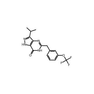 CC(C)c1n[nH]c2c(=O)[nH]c(Cc3cccc(OC(F)(F)F)c3)nc12